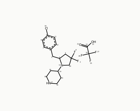 FC1(F)CC(Cc2ccc(Cl)cc2)N(C2CCNCC2)C1.O=C(O)C(F)(F)F